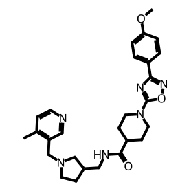 COc1ccc(-c2noc(N3CCC(C(=O)NCC4CCN(Cc5cnccc5C)C4)CC3)n2)cc1